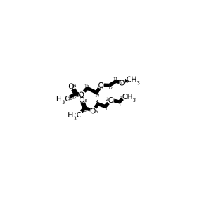 CCOCCOC(C)=O.COCCOCCOC(C)=O